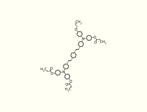 C=CCOc1ccc(N(c2ccc(C=Cc3ccc(C=Cc4ccc(N(c5ccc(OC(=O)C=C)cc5)c5ccc(OC(=O)C=C)cc5)cc4)cc3)cc2)c2ccc(OC(=O)C=C)cc2)cc1